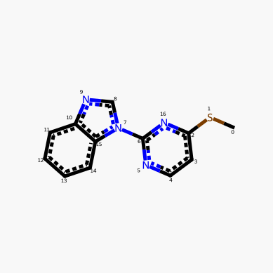 CSc1ccnc(-n2cnc3ccccc32)n1